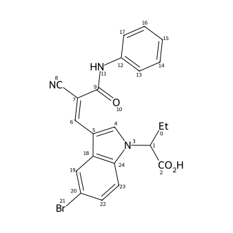 CCC(C(=O)O)n1cc(C=C(C#N)C(=O)Nc2ccccc2)c2cc(Br)ccc21